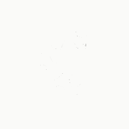 CC(=O)c1ccc(Cc2csc(C(=O)C=C(O)c3nc[nH]n3)c2)cc1